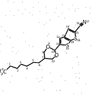 CCCCCCCC1COC(c2cc3cc(C#N)sc3s2)OC1